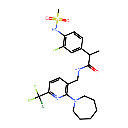 CC(C(=O)NCc1ccc(C(F)(F)Cl)nc1N1CCCCCC1)c1ccc(NS(C)(=O)=O)c(F)c1